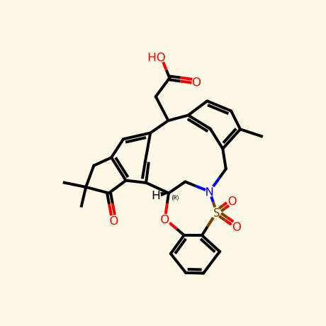 Cc1ccc2cc1CN1C[C@H](Oc3ccccc3S1(=O)=O)c1cc(cc3c1C(=O)C(C)(C)C3)C2CC(=O)O